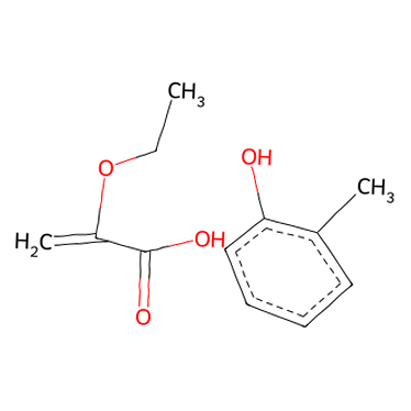 C=C(OCC)C(=O)O.Cc1ccccc1O